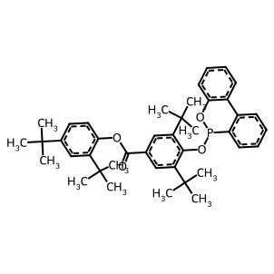 CC(C)(C)c1ccc(OC(=O)c2cc(C(C)(C)C)c(OP3Oc4ccccc4-c4ccccc43)c(C(C)(C)C)c2)c(C(C)(C)C)c1